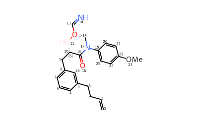 C=CCCc1cccc(C[C@H](BOC=N)C(=O)N(C)c2ccc(OC)cc2)c1